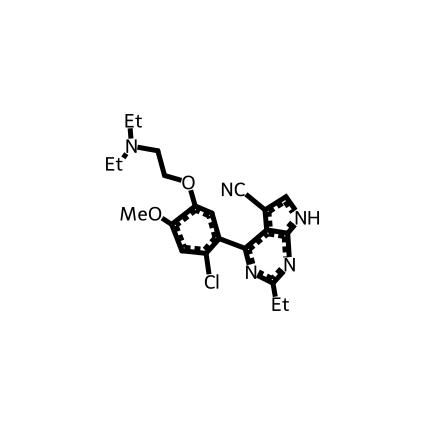 CCc1nc(-c2cc(OCCN(CC)CC)c(OC)cc2Cl)c2c(C#N)c[nH]c2n1